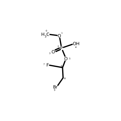 COP(=O)(O)OC(F)CBr